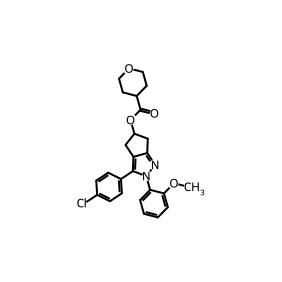 COc1ccccc1-n1nc2c(c1-c1ccc(Cl)cc1)CC(OC(=O)C1CCOCC1)C2